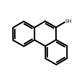 Sc1[c]c2ccccc2c2[c]cccc12